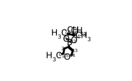 CC1CC(B2OC(C)(C)C(C)(C)O2)=CCO1